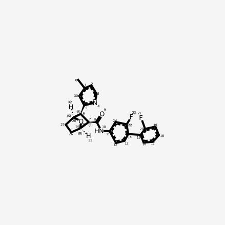 Cc1ccnc([C@H]2[C@@H](C(=O)Nc3ccc(-c4ccccc4F)c(F)c3)[C@H]3CC[C@@H]2O3)c1